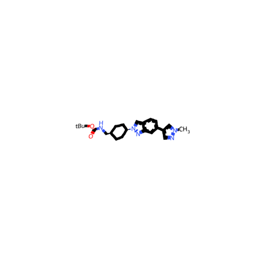 Cn1cc(-c2ccc3cn([C@H]4CC[C@H](CNC(=O)OC(C)(C)C)CC4)nc3c2)cn1